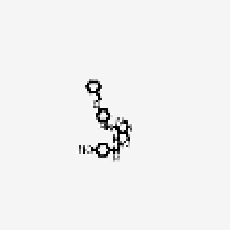 OC1CCC(Nc2ncc3ncnc(Nc4ccc(OCc5ccccc5)cc4)c3n2)CC1